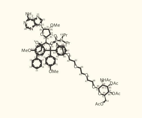 COc1ccc(C(OC(C(=O)COc2ccccc2)[C@H]2O[C@@H](n3cnc4c(N)ncnc43)[C@H](OC)[C@@H]2OP(=O)(OCCOCCOCCOCCO[C@@H]2O[C@H](COC(C)=O)[C@H](OC(C)=O)[C@H](OC(C)=O)[C@H]2NC(C)=O)N(C(C)C)C(C)C)(c2ccccc2)c2ccc(OC)cc2)cc1